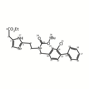 CCOC(=O)Cc1cnc(CCN(Cc2ccc(-c3ccccc3)c(Cl)c2)C(=O)OC(C)(C)C)[nH]1